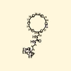 CCO[Si](CCCNC(=O)NCC1COCCOCCOCCOCCOCCO1)(OCC)OCC